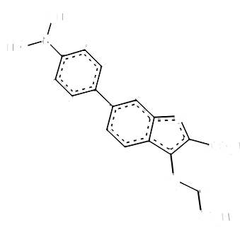 CN(C)c1ccc(-c2ccc3c(OCC(=O)O)c(C(=O)O)sc3c2)cc1